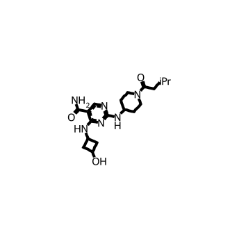 CC(C)CC(=O)N1CCC(Nc2ncc(C(N)=O)c(NC3CC(O)C3)n2)CC1